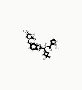 CCn1nccc1C(=O)N[C@H](c1nc2cc(CN3C[C@@H](C(F)(F)F)NC3=O)ccc2o1)C1CC(F)(F)C1